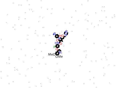 COc1cc2nccc(Oc3ccc(NC(=O)c4c(C)c(CC(O)CN5CCN(C)CC5)cn(-c5ccc(N(C)C)cc5)c4=O)cc3F)c2cc1OC